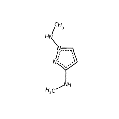 CNc1ccn(NC)n1